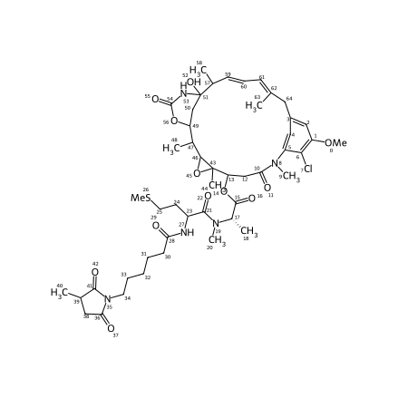 COc1cc2cc(c1Cl)N(C)C(=O)CC(OC(=O)[C@H](C)N(C)C(=O)C(CCSC)NC(=O)CCCCCN1C(=O)CC(C)C1=O)C1(C)OC1C(C)C1CC(O)(NC(=O)O1)C(C)/C=C/C=C(\C)C2